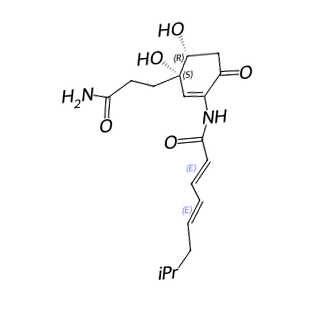 CC(C)C/C=C/C=C/C(=O)NC1=C[C@@](O)(CCC(N)=O)[C@H](O)CC1=O